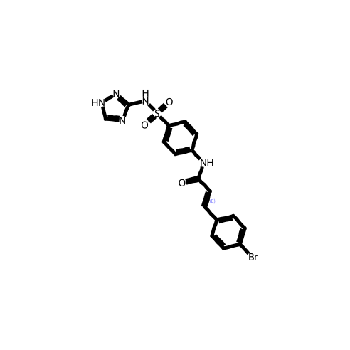 O=C(/C=C/c1ccc(Br)cc1)Nc1ccc(S(=O)(=O)Nc2nc[nH]n2)cc1